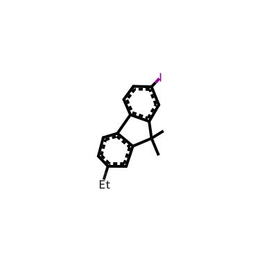 CCc1ccc2c(c1)C(C)(C)c1cc(I)ccc1-2